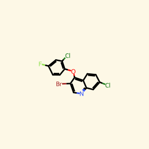 Fc1ccc(Oc2c(Br)cnc3cc(Cl)ccc23)c(Cl)c1